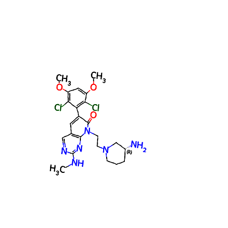 CNc1ncc2cc(-c3c(Cl)c(OC)cc(OC)c3Cl)c(=O)n(CCN3CCC[C@@H](N)C3)c2n1